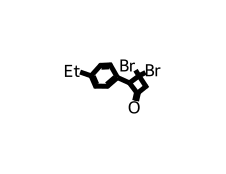 CCc1ccc(C2C(=O)CC2(Br)Br)cc1